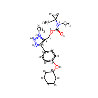 CCCC1(N(C)C(=O)OCc2c(-c3ccc(OC4CCCCC4)cc3)nnn2C)CC1